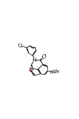 CNc1cc2c3c(c1)C(=O)N(c1cccc(Cl)c1)C(C=C2)C3=O